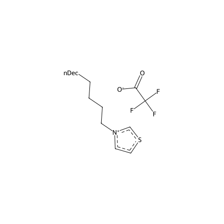 CCCCCCCCCCCCCC[n+]1ccsc1.O=C([O-])C(F)(F)F